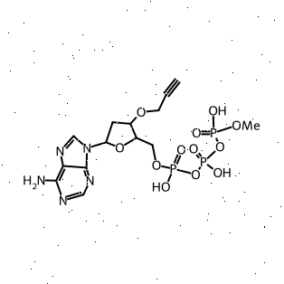 C#CCOC1CC(n2cnc3c(N)ncnc32)OC1COP(=O)(O)OP(=O)(O)OP(=O)(O)OC